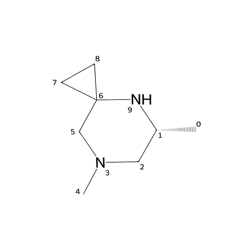 C[C@@H]1CN(C)CC2(CC2)N1